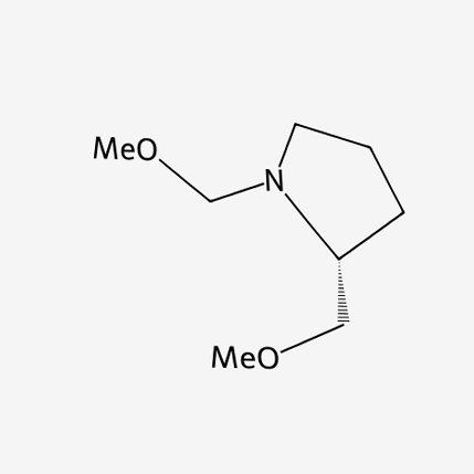 COC[C@H]1CCCN1COC